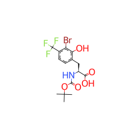 CC(C)(C)OC(=O)N[C@@H](Cc1ccc(C(F)(F)F)c(Br)c1O)C(=O)O